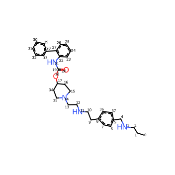 CCCNCc1ccc(CCNCCN2CCC(OC(=O)Nc3ccccc3-c3ccccc3)CC2)cc1